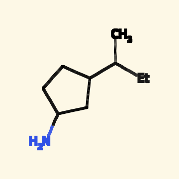 CCC(C)C1CCC(N)C1